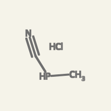 CPC#N.Cl